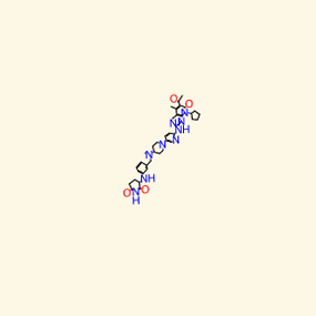 CC(=O)c1c(C)c2cnc(Nc3ccc(N4CCC(N(C)Cc5cccc(NC6CCC(=O)NC6=O)c5)CC4)cn3)nc2n(C2CCCC2)c1=O